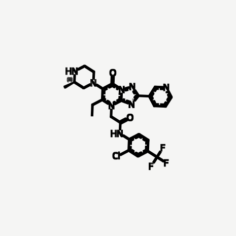 CCc1c(N2CCN[C@H](C)C2)c(=O)n2nc(-c3cccnc3)nc2n1CC(=O)Nc1ccc(C(F)(F)F)cc1Cl